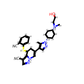 Cc1c(C2=Cn3ncc(C#N)c3C(Sc3ccccc3C#N)C2)cnn1[C@H]1CC[C@@H](N(C)CCO)CC1